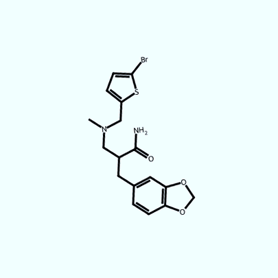 CN(Cc1ccc(Br)s1)CC(Cc1ccc2c(c1)OCO2)C(N)=O